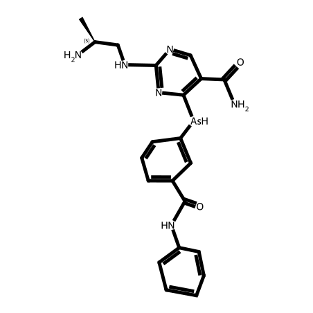 C[C@H](N)CNc1ncc(C(N)=O)c([AsH]c2cccc(C(=O)Nc3ccccc3)c2)n1